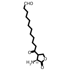 N[C@@H]1C(=O)OCC1C(=O)CCCCCCCCCCC=O